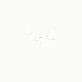 CC(=O)N1CCC(c2cc(-c3ccc4cn(Cc5ccc(F)cc5)nc4c3)c3c(N)ncnn23)CC1